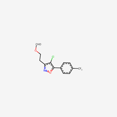 O=COCCc1noc(-c2ccc(C(F)(F)F)cc2)c1Cl